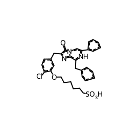 O=c1c(Cc2ccc(Cl)c(OCCCCCCS(=O)(=O)O)c2)nc2c(Cc3ccccc3)[nH]c(-c3ccccc3)cn1-2